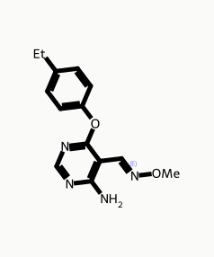 CCc1ccc(Oc2ncnc(N)c2/C=N/OC)cc1